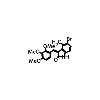 COc1ccc(C=C2C(=O)Nc3ccc(Br)c(C)c32)c(OC)c1OC